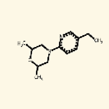 CCc1ccc(N2CC(C)OC(C)C2)nc1